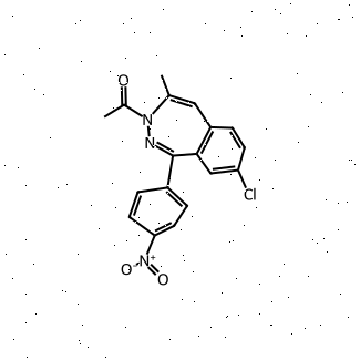 CC(=O)N1N=C(c2ccc([N+](=O)[O-])cc2)c2cc(Cl)ccc2C=C1C